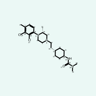 Cc1ccc(N2CCN(CC[C@H]3CC[C@H](NC(=O)N(C)C)CC3)C[C@H]2C)c(Cl)c1Cl